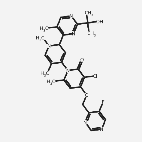 CC1=CN(C)C(c2nc(C(C)(C)O)ncc2C)C=C1n1c(C)cc(OCc2ncncc2F)c(Cl)c1=O